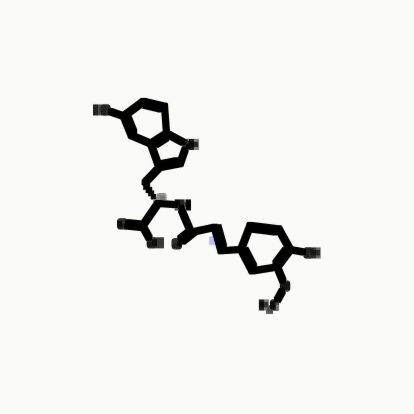 COc1cc(/C=C/C(=O)N[C@@H](Cc2c[nH]c3ccc(O)cc23)C(=O)O)ccc1O